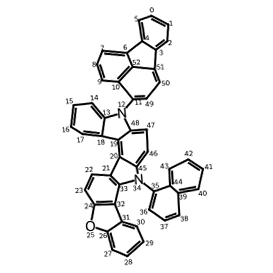 c1ccc2c(c1)-c1cccc3c(-n4c5ccccc5c5c6c7ccc8oc9ccccc9c8c7n(-c7cccc8ccccc78)c6ccc54)ccc-2c13